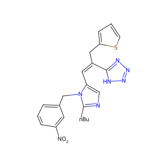 CCCCc1ncc(C=C(Cc2cccs2)c2nnn[nH]2)n1Cc1cccc([N+](=O)[O-])c1